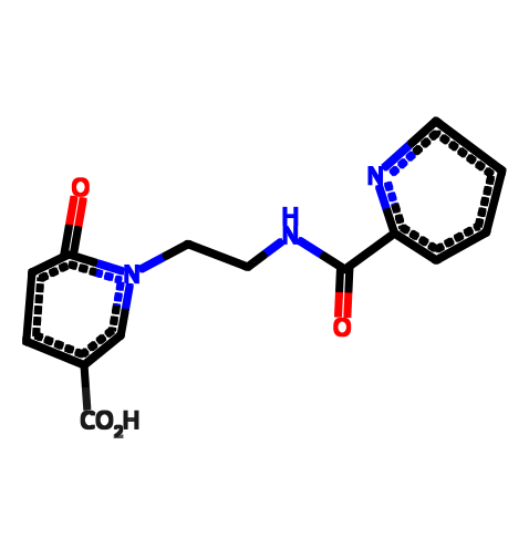 O=C(O)c1ccc(=O)n(CCNC(=O)c2ccccn2)c1